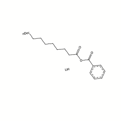 CCCCCCCCCCCCCCCCCC(=O)OC(=O)c1ccccc1.[LiH]